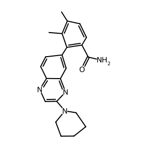 Cc1ccc(C(N)=O)c(-c2ccc3ncc(N4CCCCC4)nc3c2)c1C